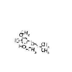 CCO.COc1cc(COCCC(C)C)ccc1O